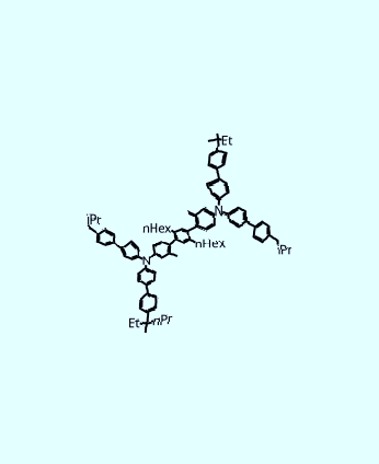 CCCCCCc1cc(-c2ccc(N(c3ccc(-c4ccc(CC(C)C)cc4)cc3)c3ccc(-c4ccc(C(C)(CC)CCC)cc4)cc3)cc2C)c(CCCCCC)cc1-c1ccc(N(c2ccc(-c3ccc(CC(C)C)cc3)cc2)c2ccc(-c3ccc(C(C)(C)CC)cc3)cc2)cc1C